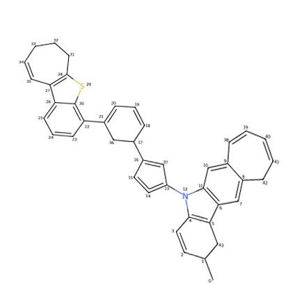 CC1C=Cc2c(c3cc4c(cc3n2C2=C=CC(C3C=CC=C(c5cccc6c7c(sc56)CCCC=C7)C3)=C2)C=CC=CC4)C1